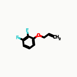 C=CCOc1cccc(F)c1F